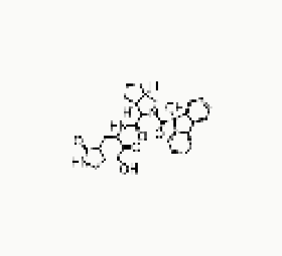 O=C1NCCC1CC(NC(=O)C1[C@H]2CCC[C@H]2CN1C(=O)C1(O)c2ccccc2-c2ccccc21)C(=O)CO